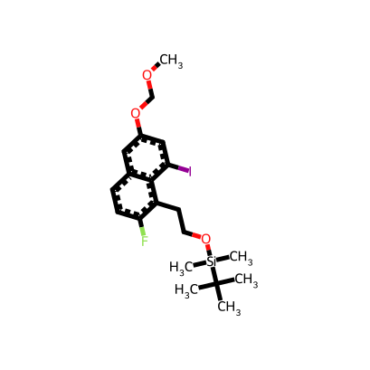 COCOc1cc(I)c2c(CCO[Si](C)(C)C(C)(C)C)c(F)ccc2c1